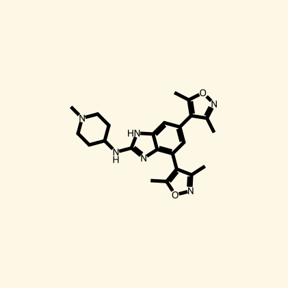 Cc1noc(C)c1-c1cc(-c2c(C)noc2C)c2nc(NC3CCN(C)CC3)[nH]c2c1